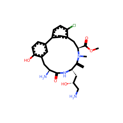 C=C1[C@H](C[C@@H](O)CN)NC(=O)[C@@H](N)Cc2cc(ccc2O)-c2ccc(Cl)c(c2)C[C@@H](C(=O)OC)N1C